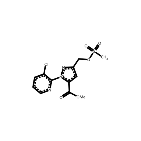 COC(=O)c1cc(COS(C)(=O)=O)nn1-c1ncccc1Cl